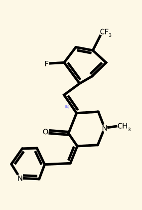 CN1CC(=Cc2cccnc2)C(=O)/C(=C/c2ccc(C(F)(F)F)cc2F)C1